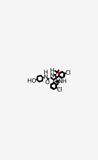 CC(C)(C)[C@@H]1N[C@@H](C(=O)N[C@H]2CC[C@H](O)CC2)[C@H](c2cccc(Cl)c2F)[C@]12C(=O)Nc1cc(Cl)ccc12